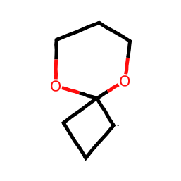 [CH]1CCC12OCCCO2